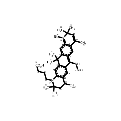 CCCCNC1=c2cc3c(cc2C(C)(C)c2cc4c(cc21)C(C)CC(C)(C)N4CCCC(=O)O)=[N+](CC)C(C)(C)C=C3C